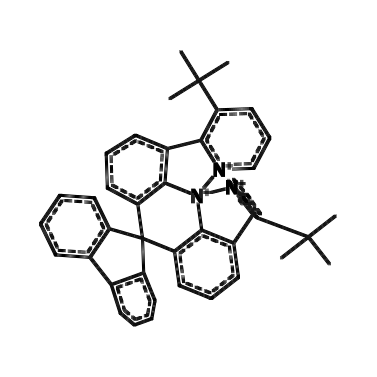 CC(C)(C)c1ccc[n+]2c1-c1cccc3c1[N+]21c2c(cccc2C32c3ccccc3-c3ccccc32)-c2c(C(C)(C)C)ccc[n+]21